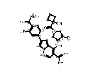 CC[C@@H]1CN(C(=O)C2(C#N)CCC2)C[C@H]1Nc1c(C(N)=O)cnn2cc(-c3ccc(C(=O)NC)c(F)c3)cc12